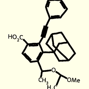 COC(C)OC(C)c1ccc(C(=O)O)c(C#Cc2ccccc2)c1C12CC3CC(CC(C3)C1)C2